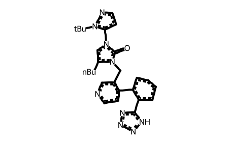 CCCCc1cn(-c2ccnn2C(C)(C)C)c(=O)n1Cc1cnccc1-c1ccccc1-c1nnn[nH]1